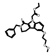 CCOC(=O)Cn1c2c(c3cc(OCCOOC)ccc31)CCN(Cc1ccccc1)C2=S